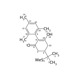 CSC(C)(C)C1CC(=O)C(c2c(C)cc(C)cc2C)=C(O)C1